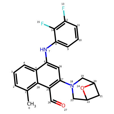 Cc1cccc2c(Nc3cccc(F)c3F)cc(N3CC4CC(C3)O4)c(C=O)c12